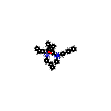 CC1(C)c2ccccc2C2C=CC(c3nc(-c4cccc(-c5ccc6ccccc6c5)c4)nc(-c4cc(-c5nc(-c6ccccc6)nc(-c6ccc(-c7ccc(-c8ccccc8)cc7)cc6)n5)cc(-c5cccc6c5C5(c7ccccc7-6)C6CC7CC(C6)CC5C7)c4)n3)=CC21